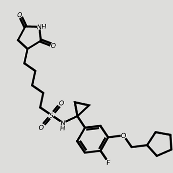 O=C1CC(CCCCCS(=O)(=O)NC2(c3ccc(F)c(OCC4CCCC4)c3)CC2)C(=O)N1